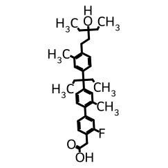 CCC(O)(CC)CCc1ccc(C(CC)(CC)c2ccc(-c3ccc(CC(=O)O)c(F)c3)c(C)c2)cc1C